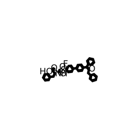 O=C(O)C(Cc1ccccc1)NCS(=O)(=O)c1ccc(-c2ccc(-c3c(Cc4ccccc4)oc4ccccc34)cc2)cc1F